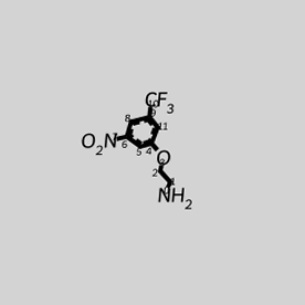 NCCOc1cc([N+](=O)[O-])cc(C(F)(F)F)c1